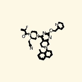 C=C(F)C(=O)N1CCN(c2nc(OCc3ccccn3)nc3c2CCN(c2cccc4cccc(C)c24)C3)C[C@@H]1CC#N